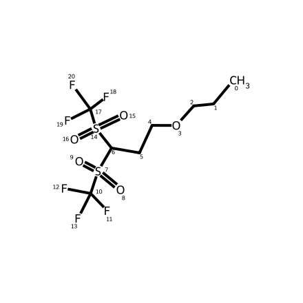 CCCOCCC(S(=O)(=O)C(F)(F)F)S(=O)(=O)C(F)(F)F